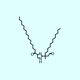 CCCCCCCCCCCCCCCC(=O)C1CNC(C(C)(CC=O)CCCCCCCCCCCC)=N1